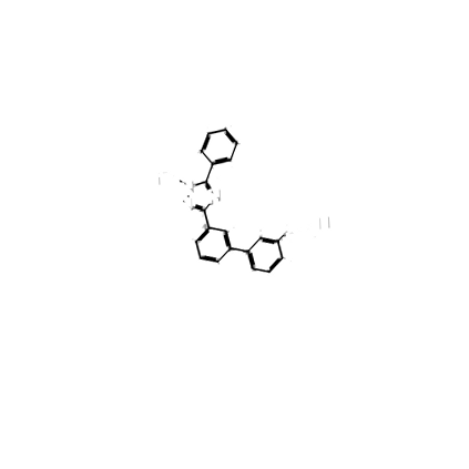 CC(C)n1nc(-c2cccc(-c3cccc(C(=O)O)c3)c2)nc1-c1ccccc1